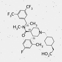 Cc1cc(F)ccc1[C@H]1CN(C[C@H]2CC[C@H](CC(=O)O)CC2)CC[C@@H]1C(=O)N(C)[C@@H](C)c1cc(C(F)(F)F)cc(C(F)(F)F)c1